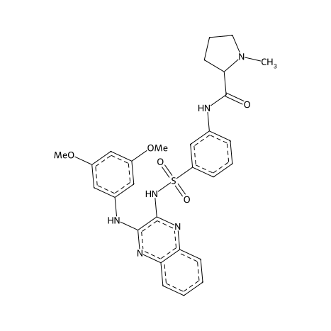 COc1cc(Nc2nc3ccccc3nc2NS(=O)(=O)c2cccc(NC(=O)C3CCCN3C)c2)cc(OC)c1